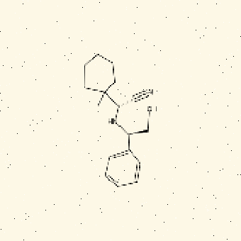 CC1([C@H](C#N)N[C@@H](CO)c2ccccc2)CCCCC1